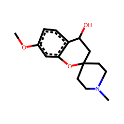 COc1ccc2c(c1)OC1(CCN(C)CC1)CC2O